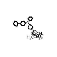 CC1(C)OB(C2=CC=C(N(c3ccccc3)c3ccc(-c4ccccc4)cc3)CC2)OC1(C)C